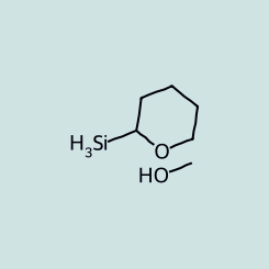 CO.[SiH3]C1CCCCO1